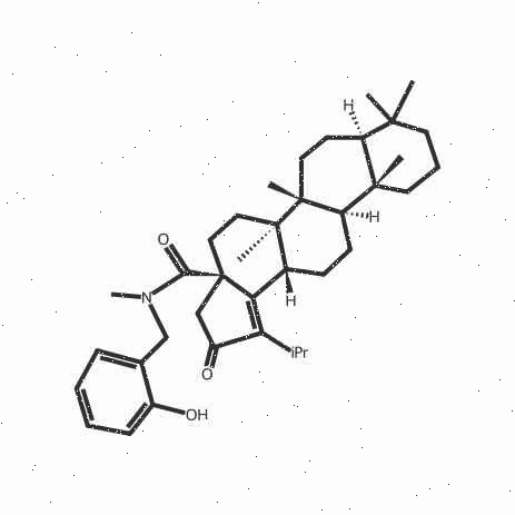 CC(C)C1=C2[C@H]3CC[C@@H]4[C@@]5(C)CCCC(C)(C)[C@@H]5CC[C@@]4(C)[C@]3(C)CC[C@@]2(C(=O)N(C)Cc2ccccc2O)CC1=O